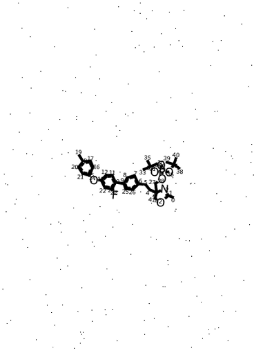 CC1=NC(CCc2ccc(-c3ccc(Oc4ccc(C)cc4)cc3F)cc2)(COP(=O)(OC(C)(C)C)OC(C)(C)C)CO1